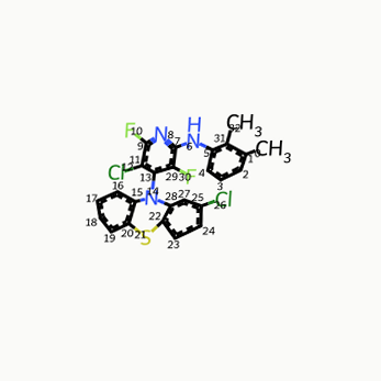 Cc1cccc(Nc2nc(F)c(Cl)c(N3c4ccccc4Sc4ccc(Cl)cc43)c2F)c1C